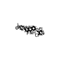 C[S+]([O-])N1CCN(c2cc(F)c(C(=N)c3cc(OCc4c(Cl)cncc4Cl)ccc3N)cn2)CC1